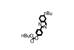 CCCCOC(=O)Oc1ccc(-c2ncc3c(n2)CCC(CCCC)C3)cc1